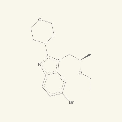 CCO[C@H](C)Cn1c(C2CCOCC2)nc2ccc(Br)cc21